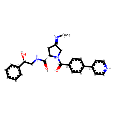 CON=C1C[C@@H](C(=O)NC[C@H](O)c2ccccc2)N(C(=O)c2ccc(-c3ccncc3)cc2)C1